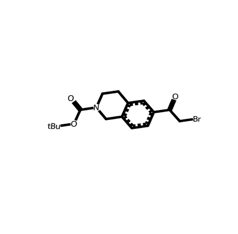 CC(C)(C)OC(=O)N1CCc2cc(C(=O)CBr)ccc2C1